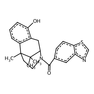 CC12CCN(C(=O)c3ccc4scnc4c3)C(Cc3c(O)cccc31)C2(C)C